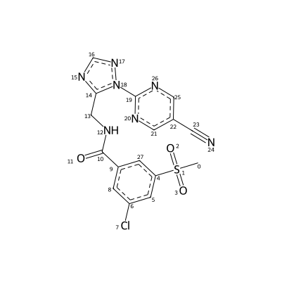 CS(=O)(=O)c1cc(Cl)cc(C(=O)NCc2ncnn2-c2ncc(C#N)cn2)c1